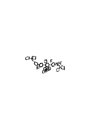 COc1cc(-c2ccc(NCC=C(Cl)Cl)cc2F)c(OC)c(OS(C)(=O)=O)c1-c1ccc(OCC=C(Cl)Cl)c(F)c1